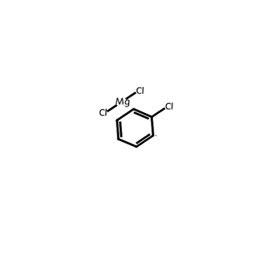 Clc1[c]cccc1.[Cl][Mg][Cl]